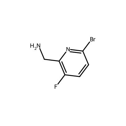 NCc1nc(Br)ccc1F